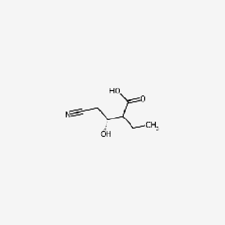 CCC(C(=O)O)[C@H](O)CC#N